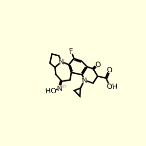 O=C(O)C1CN(C2CC2)c2c(cc(F)c3c2C/C(=N/O)CC2CCCN32)C1=O